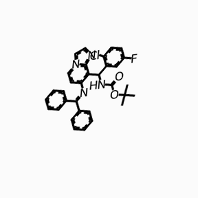 CC(C)(C)OC(=O)NC(c1cc(F)ccc1Cl)c1c(N=C(c2ccccc2)c2ccccc2)ccn2ccnc12